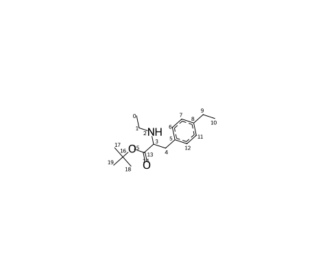 CCNC(Cc1ccc(CC)cc1)C(=O)OC(C)(C)C